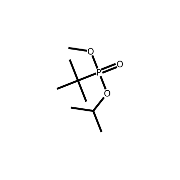 COP(=O)(OC(C)C)C(C)(C)C